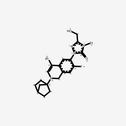 CCn1c(CO)nn(-c2cc3c(cc2F)CN(C24CCC(CC2)C4)C=C3C(C)C)c1=O